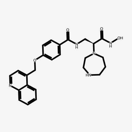 O=C(NC[C@@H](C(=O)NO)N1CCCNCC1)c1ccc(OCc2ccnc3ccccc23)cc1